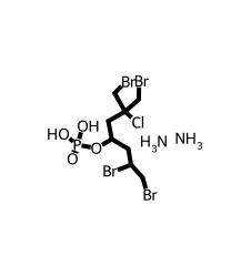 N.N.O=P(O)(O)OC(CC(Br)CBr)CC(Cl)(CBr)CBr